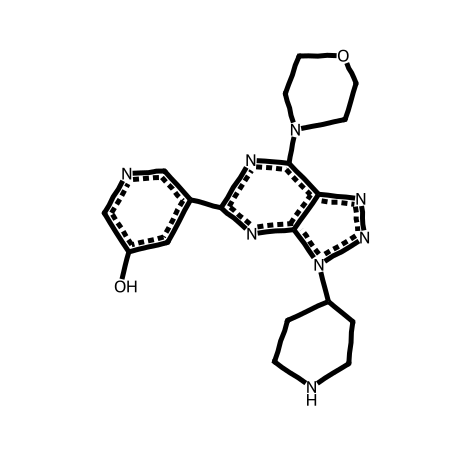 Oc1cncc(-c2nc(N3CCOCC3)c3nnn(C4CCNCC4)c3n2)c1